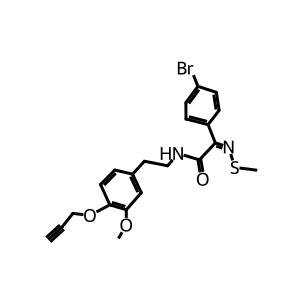 C#CCOc1ccc(CCNC(=O)/C(=N\SC)c2ccc(Br)cc2)cc1OC